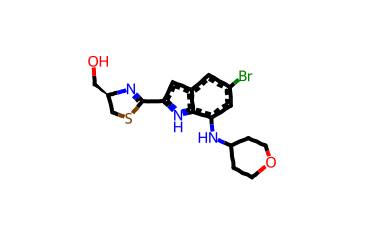 OC[C@@H]1CSC(c2cc3cc(Br)cc(NC4CCOCC4)c3[nH]2)=N1